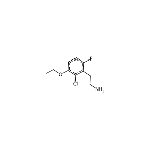 CCOc1ccc(F)c(CCN)c1Cl